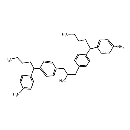 CCCCC(c1ccc(N)cc1)c1ccc(CC(C)Cc2ccc(C(CCCC)c3ccc(N)cc3)cc2)cc1